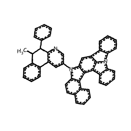 CC1c2ccccc2-c2cc(-n3c4ccc5ccccc5c4c4c5c6ccccc6n6c7ccccc7c(cc43)c56)cnc2C1c1ccccc1